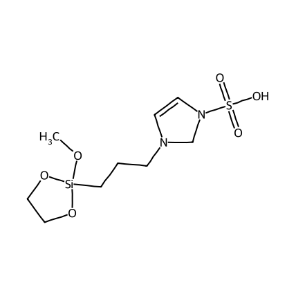 CO[Si]1(CCCN2C=CN(S(=O)(=O)O)C2)OCCO1